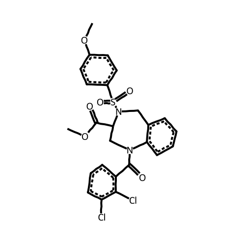 COC(=O)C1CN(C(=O)c2cccc(Cl)c2Cl)c2ccccc2CN1S(=O)(=O)c1ccc(OC)cc1